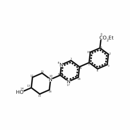 CCOC(=O)c1cccc(-c2cnc(N3CCC(O)CC3)nc2)c1